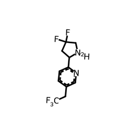 [2H]N1CC(F)(F)CC1c1ccc(CC(F)(F)F)cn1